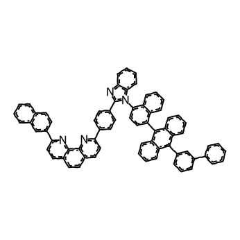 c1ccc(-c2cccc(-c3c4ccccc4c(-c4ccc(-n5c(-c6ccc(-c7ccc8ccc9ccc(-c%10ccc%11ccccc%11c%10)nc9c8n7)cc6)nc6ccccc65)c5ccccc45)c4ccccc34)c2)cc1